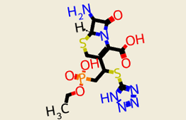 CCOP(=O)(O)CC(Sc1nnn[nH]1)C1=C(C(=O)O)N2C(=O)C(N)[C@@H]2SC1